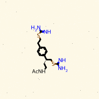 CC(=O)NCC[C@@H](CSC(=N)N)c1ccc(CCSC(=N)N)cc1